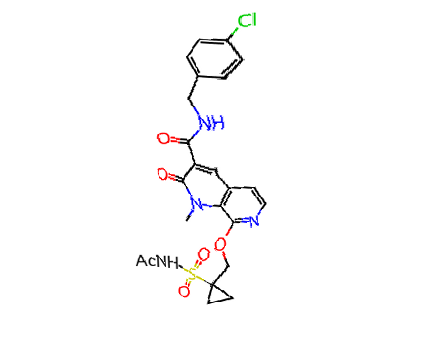 CC(=O)NS(=O)(=O)C1(COc2nccc3cc(C(=O)NCc4ccc(Cl)cc4)c(=O)n(C)c23)CC1